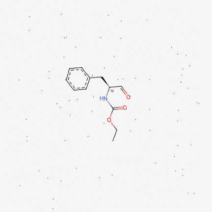 CCOC(=O)N[C@H](C=O)Cc1ccccc1